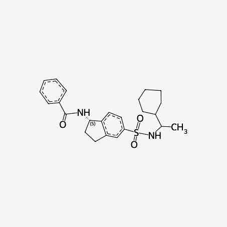 CC(NS(=O)(=O)c1ccc2c(c1)CC[C@@H]2NC(=O)c1ccccc1)C1CCCCC1